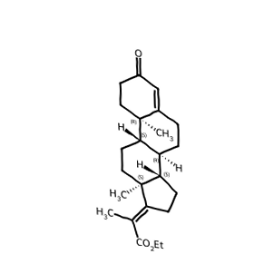 CCOC(=O)C(C)=C1CC[C@H]2[C@@H]3CCC4=CC(=O)CC[C@]4(C)[C@H]3CC[C@]12C